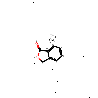 C.C.O=C1OCc2ccccc21